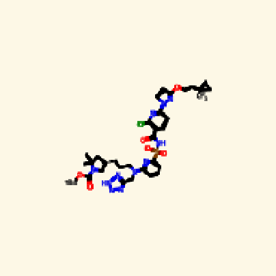 CC(C)(C)OC(=O)N1C[C@@H](CCCN(Cc2nn[nH]n2)c2cccc(S(=O)(=O)NC(=O)c3ccc(-n4ccc(OCCC5(C(F)(F)F)CC5)n4)nc3Cl)n2)CC1(C)C